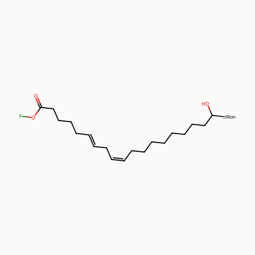 CCCCCCCCCC(O)CCCCCCCC/C=C\C/C=C/CCCCC(=O)OF